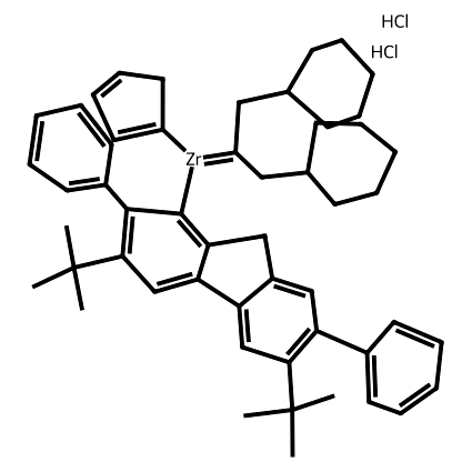 CC(C)(C)c1cc2c(cc1-c1ccccc1)Cc1c-2cc(C(C)(C)C)c(-c2ccccc2)[c]1[Zr]([C]1=CC=CC1)=[C](CC1CCCCC1)CC1CCCCC1.Cl.Cl